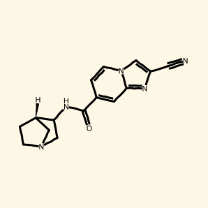 N#Cc1cn2ccc(C(=O)NC3CN4CC[C@H]3C4)cc2n1